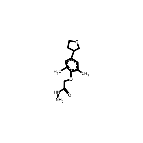 Cc1cc(C2CCOC2)cc(C)c1OCC(=O)NN